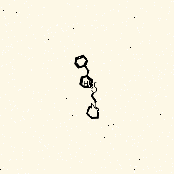 Br.c1ccc(Cc2cccc(OCCN3CCCCC3)c2)cc1